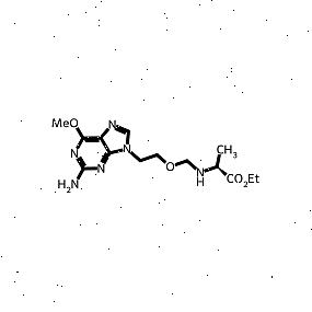 CCOC(=O)[C@H](C)NCOCCn1cnc2c(OC)nc(N)nc21